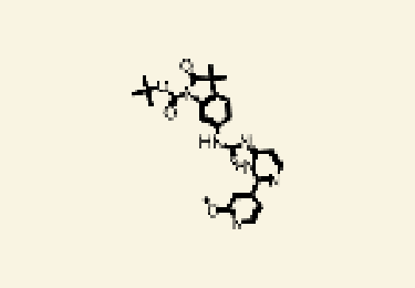 COc1cc(-c2nccc3nc(Nc4ccc5c(c4)N(C(=O)OC(C)(C)C)C(=O)C5(C)C)nn23)ccn1